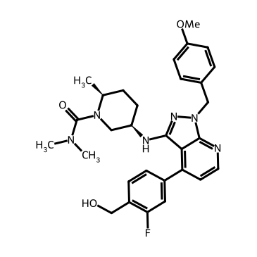 COc1ccc(Cn2nc(N[C@@H]3CC[C@H](C)N(C(=O)N(C)C)C3)c3c(-c4ccc(CO)c(F)c4)ccnc32)cc1